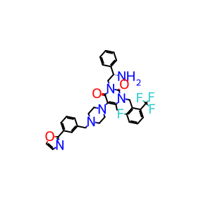 Cc1c(N2CCN(Cc3cccc(-c4ncco4)c3)CC2)c(=O)n(C[C@@H](N)c2ccccc2)c(=O)n1Cc1c(F)cccc1C(F)(F)F